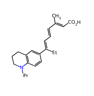 CCC(=CC=CC(C)=CC(=O)O)c1ccc2c(c1)CCCN2C(C)C